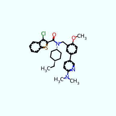 CC[C@H]1CC[C@H](N(Cc2cc(-c3ccc(N(C)C)nc3)ccc2OC)C(=O)c2sc3ccccc3c2Cl)CC1